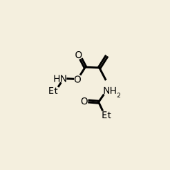 C=C(C)C(=O)ONCC.CCC(N)=O